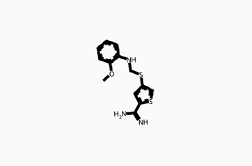 COc1ccccc1NCSc1csc(C(=N)N)c1